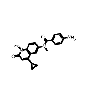 CCn1c(=O)cc(C2CC2)c2cc(N(C)C(=O)c3ccc(N)cc3)ccc21